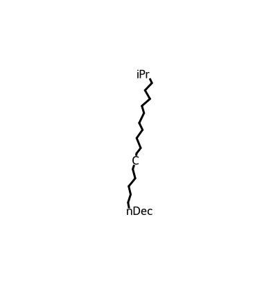 [CH2]CCCCCCCCCCCCCCCCCCCCCCCCCC(C)C